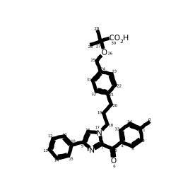 Cc1ccc(C(=O)c2nc(-c3ccccc3)cn2CCCc2ccc(COC(C)(C)C(=O)O)cc2)cc1